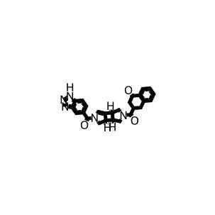 O=C1CC(C(=O)N2C[C@@H]3[C@H]4CN(C(=O)c5ccc6[nH]nnc6c5)C=C4[C@@H]3C2)Cc2ccccc21